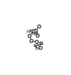 N=C(NC1NC=C(c2ccccc2)C=C1c1ccccc1)c1cccc(-c2cccc(-c3ccc4c(c3)C3(c5ccccc5Oc5ccccc53)c3cccnc3-4)c2)c1